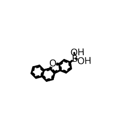 OB(O)c1ccc2c(c1)oc1c3ccccc3ccc21